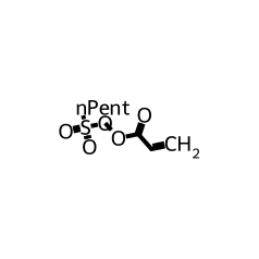 C=CC(=O)OOS(=O)(=O)CCCCC